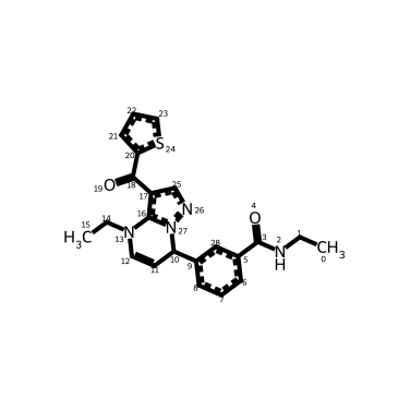 CCNC(=O)c1cccc(C2C=CN(CC)c3c(C(=O)c4cccs4)cnn32)c1